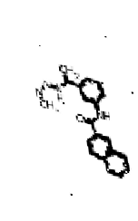 C=C(N/N=N\C)c1cccc(NC(=O)c2ccc3ccccc3c2)c1